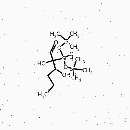 CCCC(O)C(O)([C]=O)[Si](C)(O[Si](C)(C)C)O[Si](C)(C)C